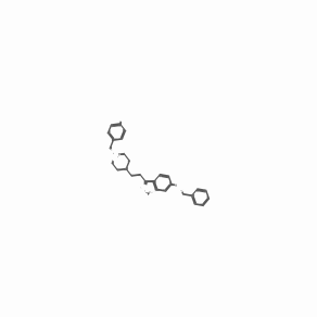 Fc1ccc(CN2CCC(CCc3noc4cc(OCc5ccccc5)ccc34)CC2)cc1